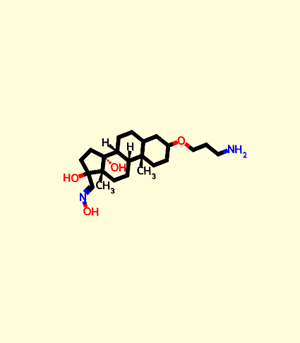 C[C@]12CCC(OCCCN)CC1CC[C@@H]1[C@H]2CC[C@]2(C)C(O)(/C=N/O)CC[C@@]12O